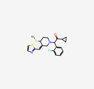 CC(=O)SC1CCN(C(C(=O)C2CC2)c2ccccc2F)C/C1=C/c1nccs1